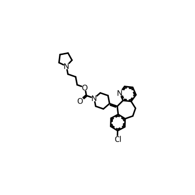 O=C(OCCCN1CCCC1)N1CCC(=C2c3ccc(Cl)cc3CCc3cccnc32)CC1